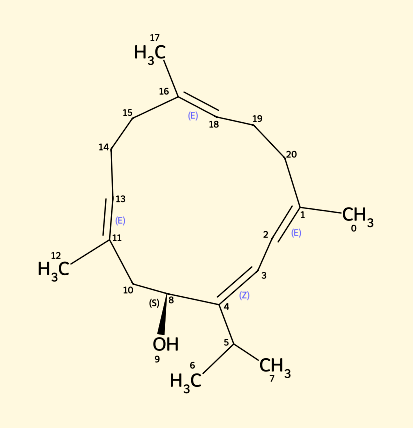 C/C1=C\C=C(\C(C)C)[C@@H](O)C/C(C)=C/CC/C(C)=C/CC1